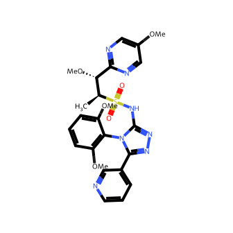 COc1cnc([C@@H](OC)[C@H](C)S(=O)(=O)Nc2nnc(-c3cccnc3)n2-c2c(OC)cccc2OC)nc1